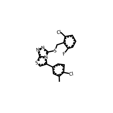 Cc1cc(-c2csc3nnc(SCc4c(F)cccc4Cl)n23)ccc1Cl